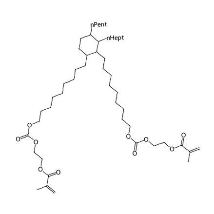 C=C(C)C(=O)OCCOC(=O)OCCCCCCCCCC1CCC(CCCCC)C(CCCCCCC)C1CCCCCCCCCOC(=O)OCCOC(=O)C(=C)C